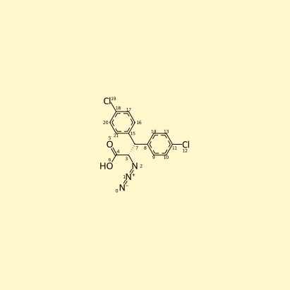 [N-]=[N+]=N[C@H](C(=O)O)C(c1ccc(Cl)cc1)c1ccc(Cl)cc1